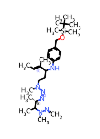 C=NN(C)C(C)[C@H](C)/N=N\N(C)CCC(Nc1ccc(CO[Si](C)(C)C(C)(C)C)cc1)/C(C)=C/C